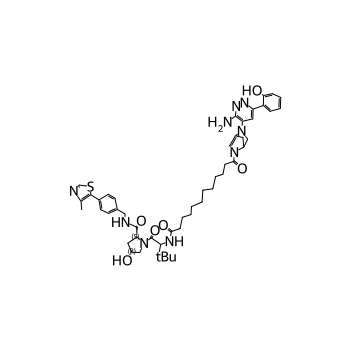 Cc1ncsc1-c1ccc(CNC(=O)[C@@H]2C[C@@H](O)CN2C(=O)C(NC(=O)CCCCCCCCCCC(=O)N2C=C3CC2CN3c2cc(-c3ccccc3O)nnc2N)C(C)(C)C)cc1